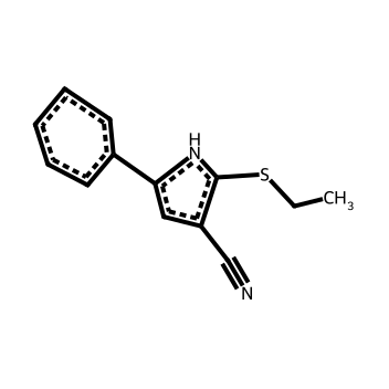 CCSc1[nH]c(-c2ccccc2)cc1C#N